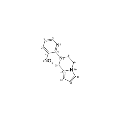 O=[N+]([O-])c1cccnc1N1CCn2cccc2C1